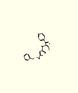 Cc1onc(-c2ccc(Br)cc2)c1C(=O)c1c[nH]c(C(=O)NCc2ccccc2)c1